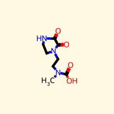 CN(CCN1CCNC(=O)C1=O)C(=O)O